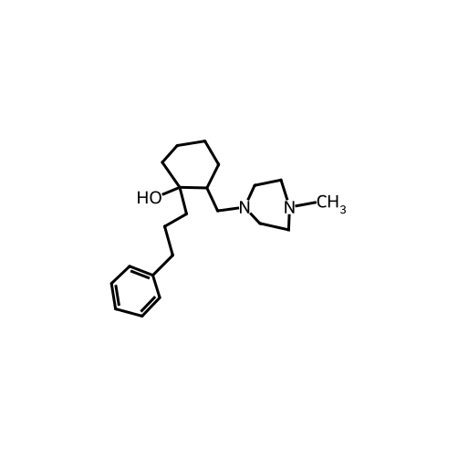 CN1CCN(CC2CCCCC2(O)CCCc2ccccc2)CC1